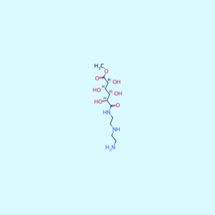 COC(=O)[C@H](O)[C@@H](O)[C@H](O)[C@H](O)C(=O)NCCNCCN